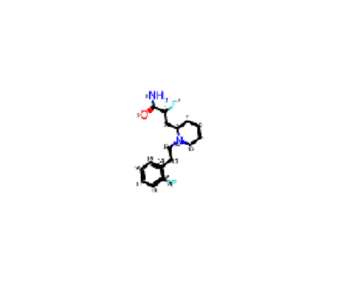 NC(=O)C(F)[CH]C1CCCCN1CCc1ccccc1F